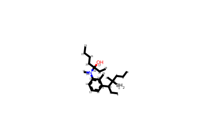 BC(C)(CCC)C(CC)c1cccc(N(C)C(O)(CC)CCCC)c1C